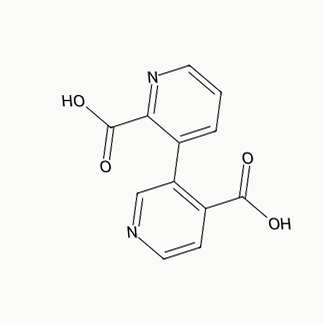 O=C(O)c1ccncc1-c1cccnc1C(=O)O